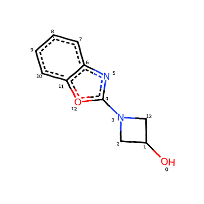 OC1CN(c2nc3c[c]ccc3o2)C1